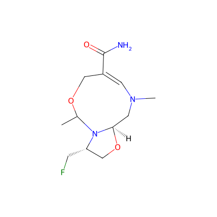 CC1OC/C(C(N)=O)=C\N(C)C[C@H]2OC[C@H](CF)N12